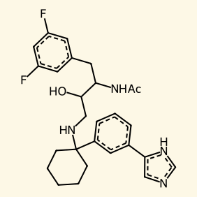 CC(=O)NC(Cc1cc(F)cc(F)c1)C(O)CNC1(c2cccc(-c3cnc[nH]3)c2)CCCCC1